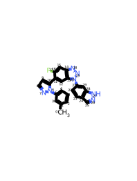 Cc1cccc(-n2nccc2-c2cc3c(cc2F)nnn3-c2ccc3cn[nH]c3c2)c1